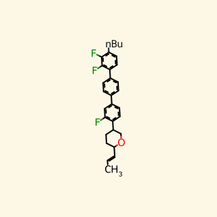 C/C=C/C1CCC(c2ccc(-c3ccc(-c4ccc(CCCC)c(F)c4F)cc3)cc2F)CO1